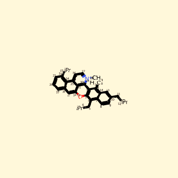 Cc1c2c(c(CC(C)C)c3ccc(CC(C)C)cc13)Oc1cc3cccc(C(C)C)c3c3cc[n+](C)c-2c13